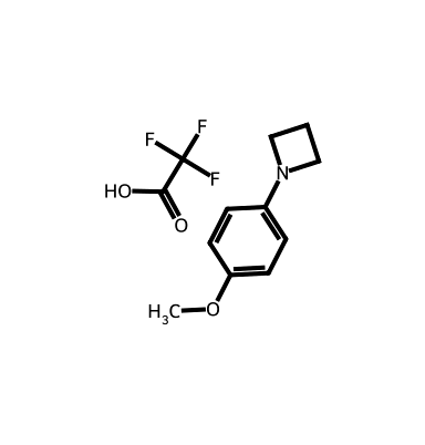 COc1ccc(N2CCC2)cc1.O=C(O)C(F)(F)F